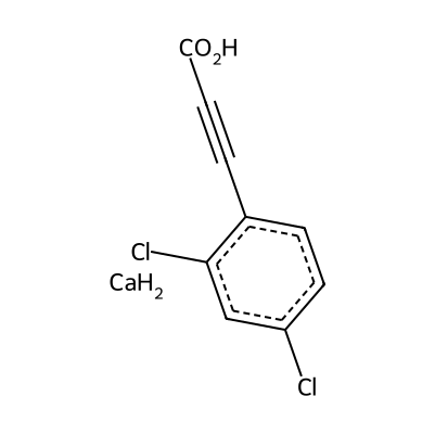 O=C(O)C#Cc1ccc(Cl)cc1Cl.[CaH2]